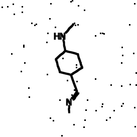 C/N=C/C1CCC(NC)CC1